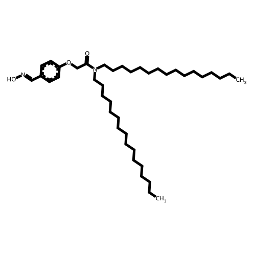 CCCCCCCCCCCCCCCCN(CCCCCCCCCCCCCCCC)C(=O)COc1ccc(C=NO)cc1